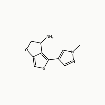 Cn1cc(-c2scc3c2C(N)CO3)cn1